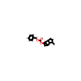 CC1C=CC2C3CC(CC3OC(=O)OCc3ccccc3)C12